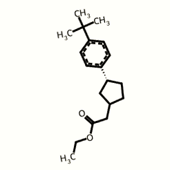 CCOC(=O)CC1CC[C@@H](c2ccc(C(C)(C)C)cc2)C1